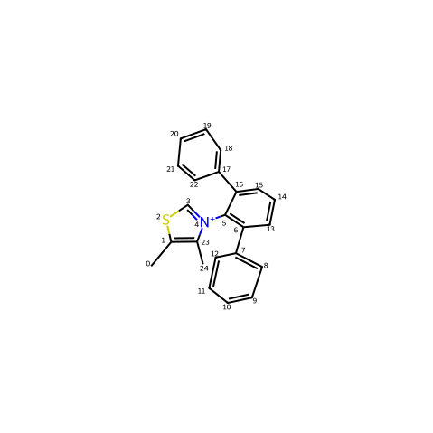 Cc1sc[n+](-c2c(-c3ccccc3)cccc2-c2ccccc2)c1C